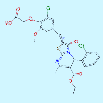 CCOC(=O)C1=C(C)N=c2s/c(=C\c3cc(Cl)c(OCC(=O)O)c(OC)c3)c(=O)n2C1c1ccccc1Cl